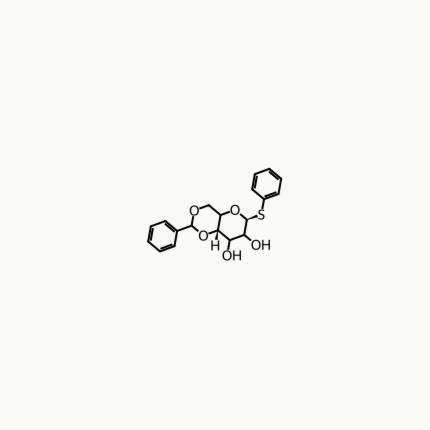 OC1C(O)[C@H](Sc2ccccc2)OC2COC(c3ccccc3)O[C@H]21